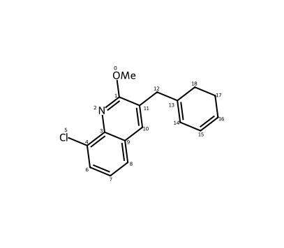 COc1nc2c(Cl)cccc2cc1CC1=CC=CCC1